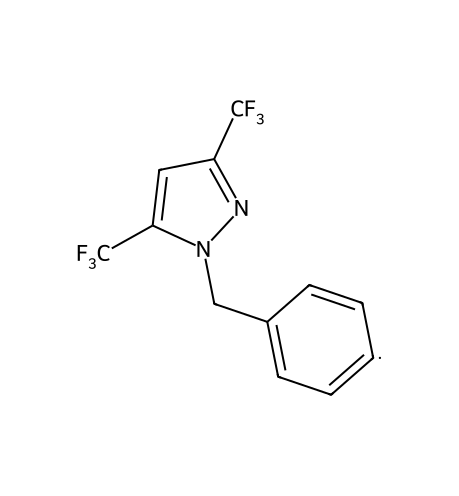 FC(F)(F)c1cc(C(F)(F)F)n(Cc2cc[c]cc2)n1